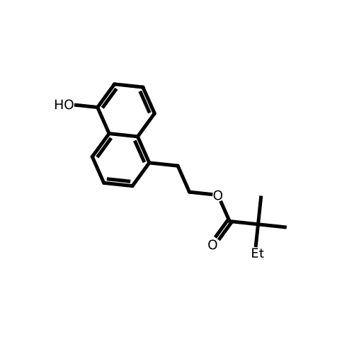 CCC(C)(C)C(=O)OCCc1cccc2c(O)cccc12